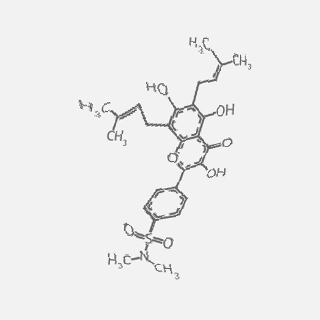 CC(C)=CCc1c(O)c(CC=C(C)C)c2oc(-c3ccc(S(=O)(=O)N(C)C)cc3)c(O)c(=O)c2c1O